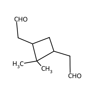 CC1(C)C(CC=O)CC1CC=O